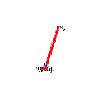 COCCOCCOCCOCCOCCOCCOCCOCCOCCOCCOCCOCCOCCOCCOCCOCCOCCOCCOCCOCCOCCOCCOCCOCCNC(=O)CCCCC[N+]1=C(C)C(C)(CCCCCC(C)=O)c2cc(C)ccc21